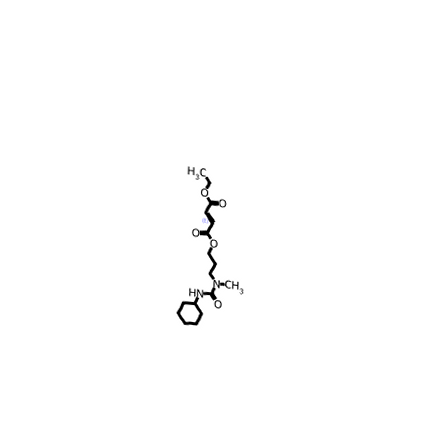 CCOC(=O)/C=C/C(=O)OCCCN(C)C(=O)NC1CCCCC1